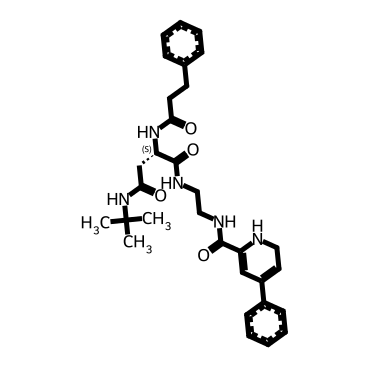 CC(C)(C)NC(=O)C[C@H](NC(=O)CCc1ccccc1)C(=O)NCCNC(=O)C1=CC(c2ccccc2)=CCN1